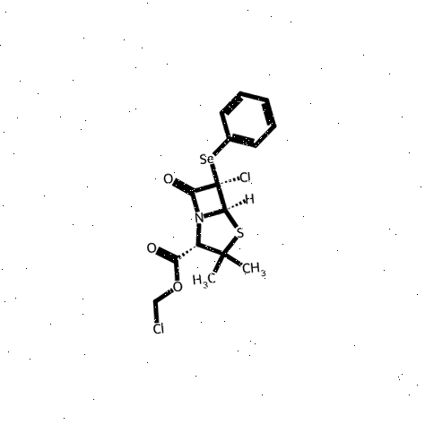 CC1(C)S[C@H]2N(C(=O)[C@@]2(Cl)[Se]c2ccccc2)[C@H]1C(=O)OCCl